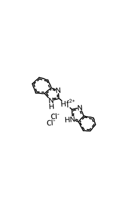 [Cl-].[Cl-].c1ccc2[nH][c]([Hf+2][c]3nc4ccccc4[nH]3)nc2c1